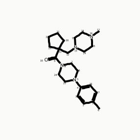 Cc1ccc(N2CCN(C(=O)C3(CN4CCN(C)CC4)CCCC3)CC2)cc1